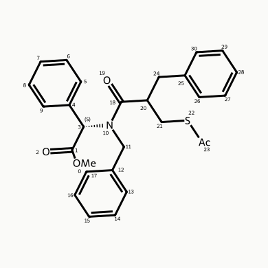 COC(=O)[C@H](c1ccccc1)N(Cc1ccccc1)C(=O)C(CSC(C)=O)Cc1ccccc1